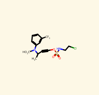 CC(C#COS(=O)(=O)NCCCl)N(C(=O)O)c1cccc(C(F)(F)F)c1